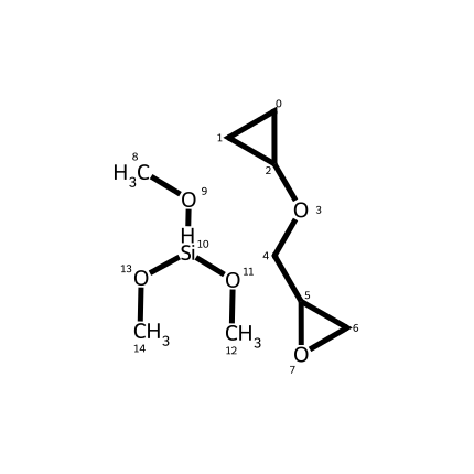 C1CC1OCC1CO1.CO[SiH](OC)OC